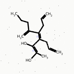 C=CC/C(C(=C)CCC)=C(CC=C)/C(O)=C(\C)O